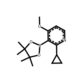 COc1ccnc(C2CC2)c1B1OC(C)(C)C(C)(C)O1